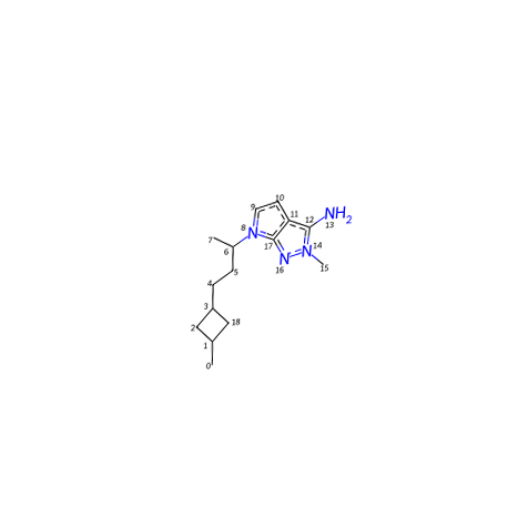 CC1CC(CCC(C)n2ccc3c(N)n(C)nc32)C1